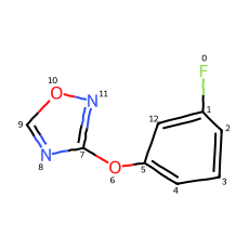 Fc1cccc(Oc2ncon2)c1